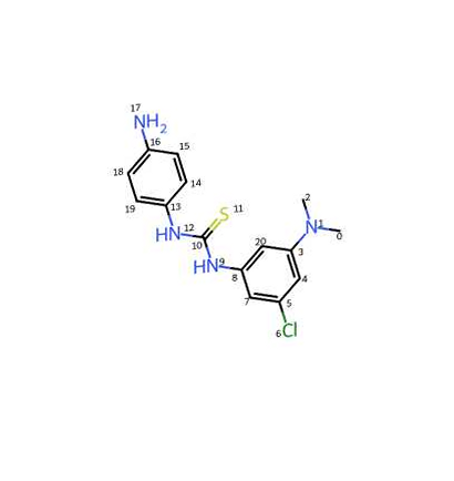 CN(C)c1cc(Cl)cc(NC(=S)Nc2ccc(N)cc2)c1